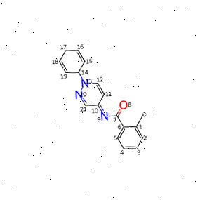 Cc1ccccc1C(=O)N=c1ccn(C2C=CCC=C2)nc1